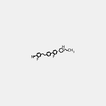 CCC[Si@H]1CC[C@H](c2ccc(-c3ccc(CCc4ccc(C#N)c(F)c4)cc3)c(F)c2)CC1